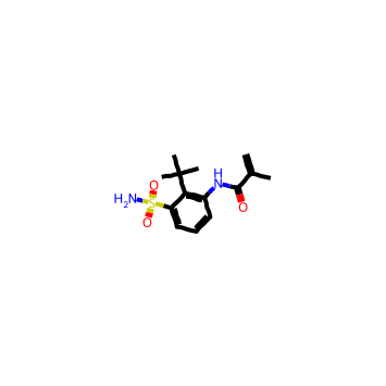 C=C(C)C(=O)Nc1cccc(S(N)(=O)=O)c1C(C)(C)C